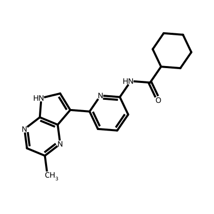 Cc1cnc2[nH]cc(-c3cccc(NC(=O)C4CCCCC4)n3)c2n1